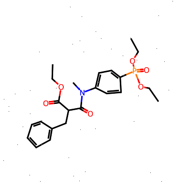 CCOC(=O)C(Cc1ccccc1)C(=O)N(C)c1ccc(P(=O)(OCC)OCC)cc1